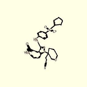 N#CCC1(n2nc(Nc3ccc(S(=O)(=O)C4CCCC4)cc3)c3c(=O)[nH]ccc32)CCCOC1